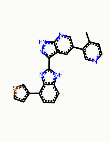 Cc1ccncc1-c1cnc2[nH]nc(-c3nc4c(-c5ccsc5)cccc4[nH]3)c2c1